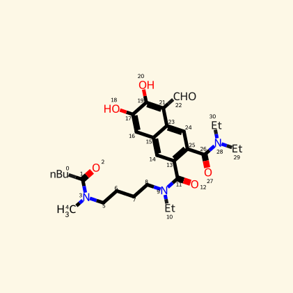 CCCCC(=O)N(C)CCCCN(CC)C(=O)c1cc2cc(O)c(O)c(C=O)c2cc1C(=O)N(CC)CC